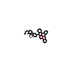 C=C/C=C\c1ccc2c(oc3ccc(-c4c5ccccc5c(-c5ccccc5-c5ccc6ccccc6c5)c5ccccc45)cc32)c1C